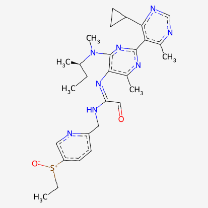 CC[C@@H](C)N(C)c1nc(-c2c(C)ncnc2C2CC2)nc(C)c1/N=C(\C=O)NCc1ccc([S+]([O-])CC)cn1